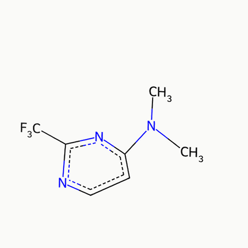 CN(C)c1ccnc(C(F)(F)F)n1